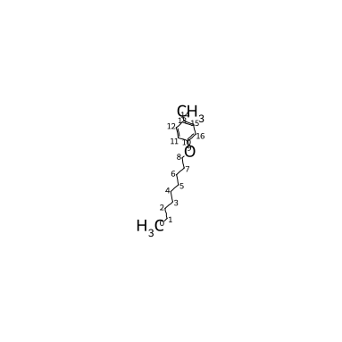 CCCCCCCCCOc1ccc(C)cc1